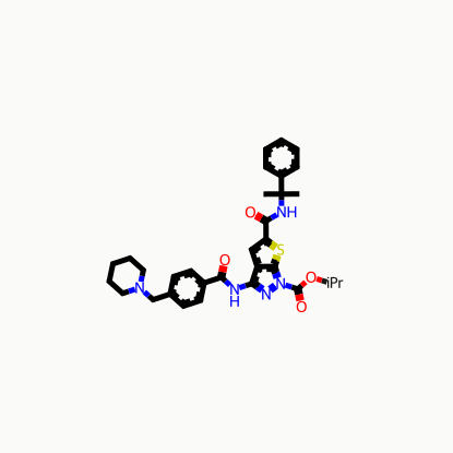 CC(C)OC(=O)n1nc(NC(=O)c2ccc(CN3CCCCC3)cc2)c2cc(C(=O)NC(C)(C)c3ccccc3)sc21